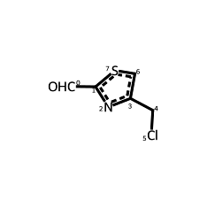 O=Cc1nc(CCl)cs1